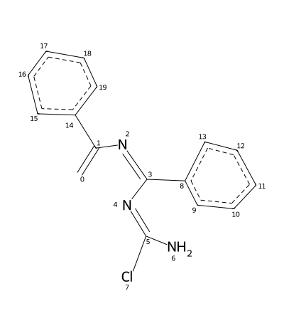 C=C(/N=C(\N=C(/N)Cl)c1ccccc1)c1ccccc1